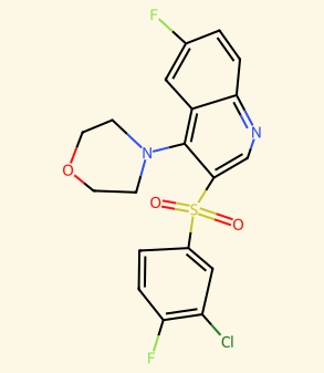 O=S(=O)(c1ccc(F)c(Cl)c1)c1cnc2ccc(F)cc2c1N1CCOCC1